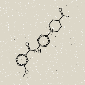 COc1cccc(C(=O)Nc2ccc(N3CCC(C(C)=O)CC3)cc2)c1